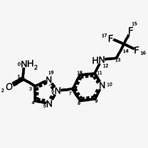 NC(=O)c1cnn(-c2ccnc(NCC(F)(F)F)c2)n1